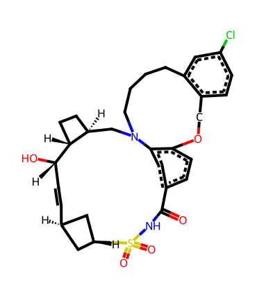 O=C1NS(=O)(=O)[C@H]2C[C@H](/C=C/[C@H](O)[C@@H]3CC[C@H]3CN3CCCCc4cc(Cl)ccc4COc4ccc1cc43)C2